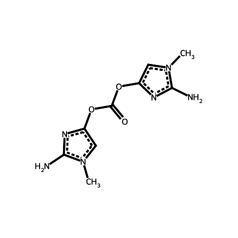 Cn1cc(OC(=O)Oc2cn(C)c(N)n2)nc1N